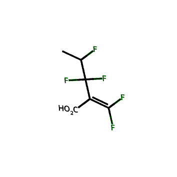 CC(F)C(F)(F)C(C(=O)O)=C(F)F